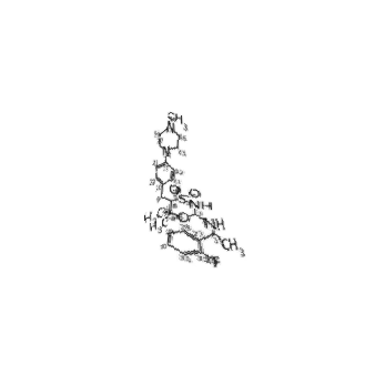 C[C@H](NC1NS(=O)(=O)C(Cc2ccc(N3CCN(C)CC3)cc2)C(C)(C)O1)c1ccccc1F